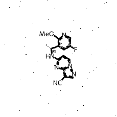 COc1ncc(F)cc1[C@@H](C)Nc1ccn2ncc(C#N)c2n1